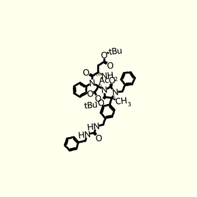 CC(=O)[C@@](C(=O)OC(C)(C)C)(N1C(=O)N(Cc2ccccc2)[C@](C)(c2ccc(CNC(=O)NCc3ccccc3)cc2)C1=O)N(C(=O)[C@@H](N)CC(=O)OC(C)(C)C)c1ccccc1